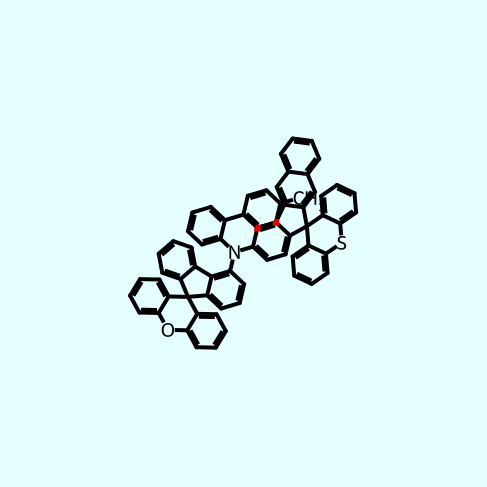 CC1C=CC(c2ccccc2N(c2ccc3c(c2)-c2cc4ccccc4cc2C32c3ccccc3Sc3ccccc32)c2cccc3c2-c2ccccc2C32c3ccccc3Oc3ccccc32)=CC1